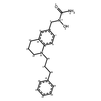 NC(=O)N(O)Cc1ccc2c(c1)CCCN2CCCc1ccccc1